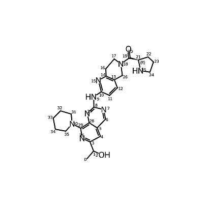 CC(O)c1cc2cnc(Nc3ccc4c(n3)CCN(C(=O)[C@H]3CCCN3)C4)nc2c(N2CCCCC2)n1